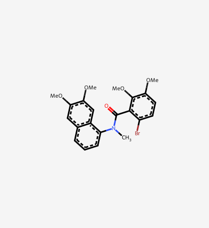 COc1cc2cccc(N(C)C(=O)c3c(Br)ccc(OC)c3OC)c2cc1OC